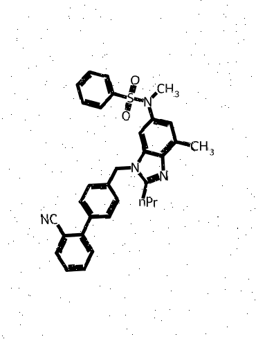 CCCc1nc2c(C)cc(N(C)S(=O)(=O)c3ccccc3)cc2n1Cc1ccc(-c2ccccc2C#N)cc1